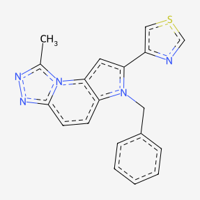 Cc1nnc2ccc3c(cc(-c4cscn4)n3Cc3ccccc3)n12